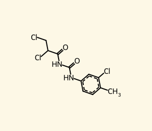 Cc1ccc(NC(=O)NC(=O)C(Cl)CCl)cc1Cl